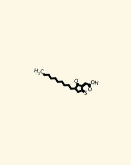 CCCCCCCCCCC1CC(=S)/C(=C\C(=O)O)C1=O